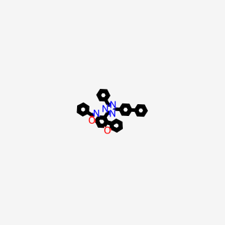 c1ccc(-c2ccc(-c3nc(-c4ccccc4)nc(-c4c5nc(-c6ccccc6)oc5cc5oc6ccccc6c45)n3)cc2)cc1